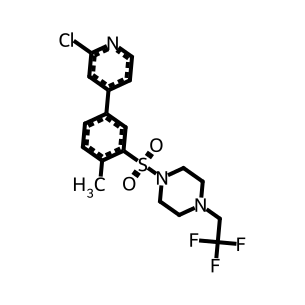 Cc1ccc(-c2ccnc(Cl)c2)cc1S(=O)(=O)N1CCN(CC(F)(F)F)CC1